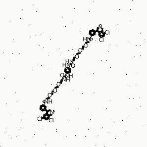 CN1Cc2c(Cl)cc(Cl)cc2C(c2cccc(SNCCOCCOCCOCCNC(=O)Nc3ccc(NC(=O)NCCOCCOCCOCCNSc4cccc(C5CN(C)Cc6c(Cl)cc(Cl)cc65)c4)cc3)c2)C1